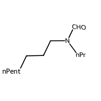 CCCCCCCCN(C=O)CCC